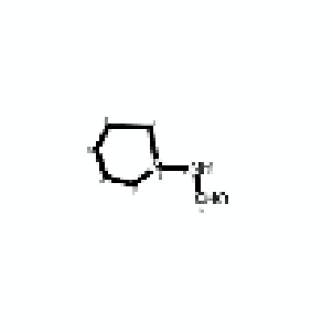 O=CNN1[C]CCCC1